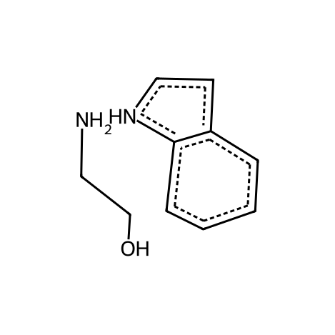 NCCO.c1ccc2[nH]ccc2c1